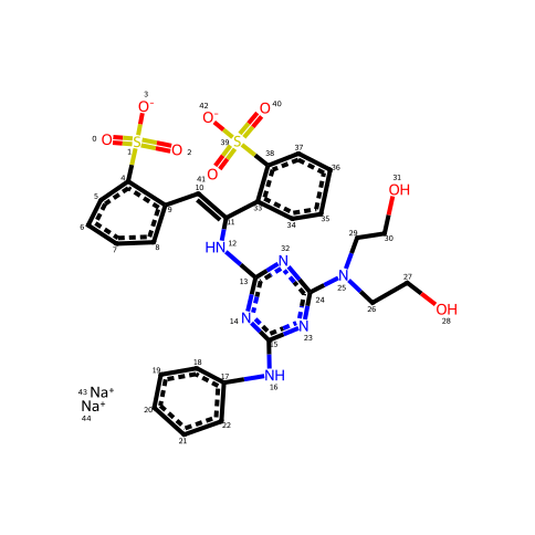 O=S(=O)([O-])c1ccccc1C=C(Nc1nc(Nc2ccccc2)nc(N(CCO)CCO)n1)c1ccccc1S(=O)(=O)[O-].[Na+].[Na+]